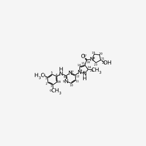 Cc1cc(C)cc(Nc2nccc(N3C=C(C(=O)N4CC[C@@H](O)C4)C(C)N3)n2)c1